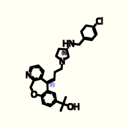 CC(C)(O)c1ccc2c(c1)/C(=C/CCN1CC[C@H](NCC3=CC=C(Cl)CC3)C1)c1cccnc1CO2